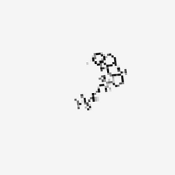 Cc1ccc2c(c1)[C@@H]1C[C@H]3[C@H](CCCN3S(=O)(=O)CCCNS(=O)(=O)N(C)C)CN1CC2